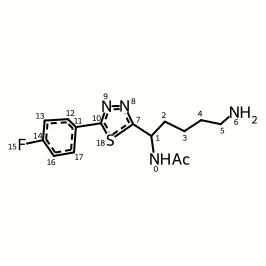 CC(=O)NC(CCCCN)c1nnc(-c2ccc(F)cc2)s1